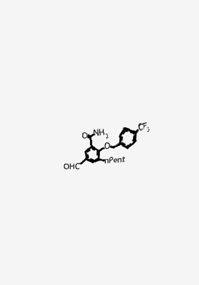 CCCCCc1cc(C=O)cc(C(N)=O)c1OCc1ccc(C(F)(F)F)cc1